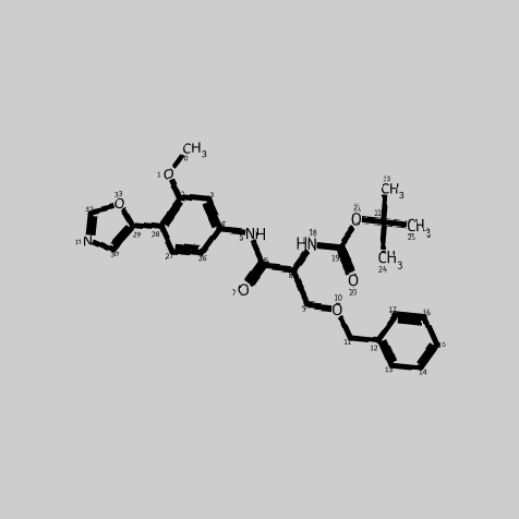 COc1cc(NC(=O)C(COCc2ccccc2)NC(=O)OC(C)(C)C)ccc1-c1cnco1